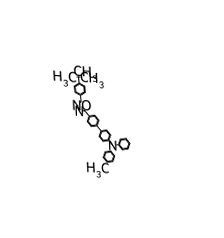 Cc1ccc(N(c2ccccc2)c2ccc(-c3ccc(-c4nnc(-c5ccc(C(C)(C)C)cc5)o4)cc3)cc2)cc1